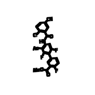 COC(=O)c1cc(-c2c(F)cc(NC(=O)c3cc(C#N)ccc3Cl)c(C(C)=O)c2F)ccc1F